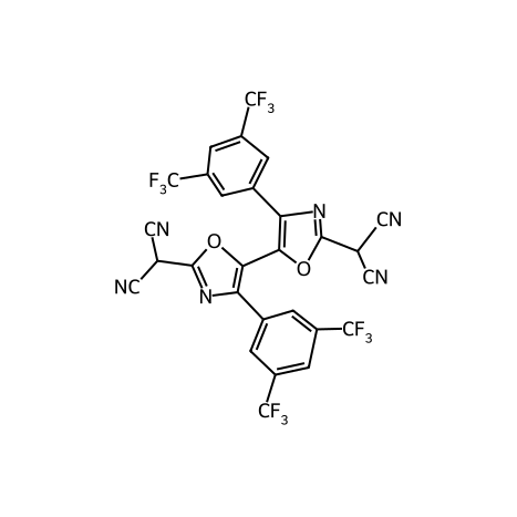 N#CC(C#N)c1nc(-c2cc(C(F)(F)F)cc(C(F)(F)F)c2)c(-c2oc(C(C#N)C#N)nc2-c2cc(C(F)(F)F)cc(C(F)(F)F)c2)o1